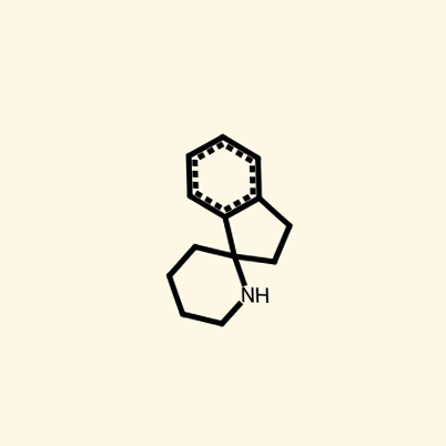 c1ccc2c(c1)CCC21CCCCN1